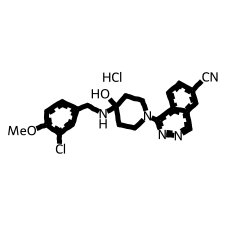 COc1ccc(CNC2(O)CCN(c3nncc4cc(C#N)ccc34)CC2)cc1Cl.Cl